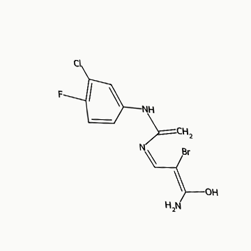 C=C(/N=C\C(Br)=C(/N)O)Nc1ccc(F)c(Cl)c1